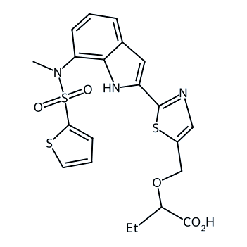 CCC(OCc1cnc(-c2cc3cccc(N(C)S(=O)(=O)c4cccs4)c3[nH]2)s1)C(=O)O